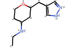 CCNC1CCOC(Cc2cn[nH]c2)C1